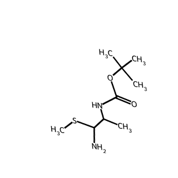 CSC(N)C(C)NC(=O)OC(C)(C)C